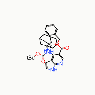 CC(C)(C)OC(=O)NC12CC3CC(C1)C(Nc1c(C(=O)OCc4ccccc4)cnc4[nH]ccc14)C(C3)C2